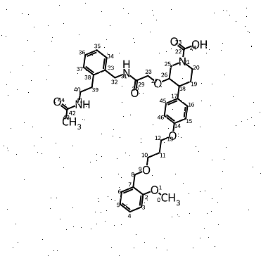 COc1ccccc1COCCCOc1ccc(C2CCN(C(=O)O)CC2OCC(=O)NCc2ccccc2CCNC(C)=O)cc1